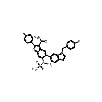 CNC(=O)c1c(-c2ccc(F)cc2)oc2cc(N(C)S(C)(=O)=O)c(-c3ccc4ccn(Cc5ccc(F)cc5)c4c3)cc12